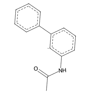 CC(=O)Nc1[c]c(-c2ccccc2)ccc1